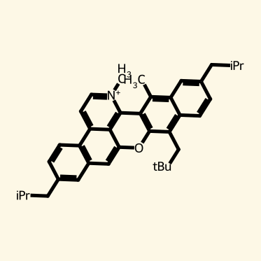 Cc1c2c(c(CC(C)(C)C)c3ccc(CC(C)C)cc13)Oc1cc3cc(CC(C)C)ccc3c3cc[n+](C)c-2c13